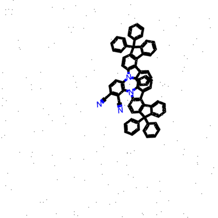 N#Cc1ccc(-n2c3ccccc3c3c4c(ccc32)C(c2ccccc2)(c2ccccc2)c2ccccc2-4)c(-n2c3ccccc3c3c4c(ccc32)C(c2ccccc2)(c2ccccc2)c2ccccc2-4)c1C#N